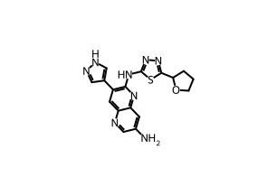 Nc1cnc2cc(-c3cn[nH]c3)c(Nc3nnc(C4CCCO4)s3)nc2c1